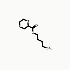 CCCCCOC(=O)C1CSCC[N]1